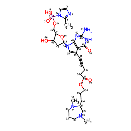 Cc1nccn1P(=O)(O)OC[C@H]1O[C@@H](n2cc(C#CCCC(=O)OCCCC3CN(C)CCCN3C)c3c(=O)[nH]c(N)nc32)CC1O